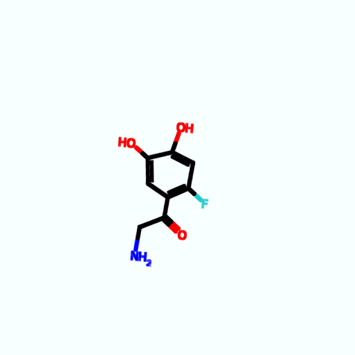 NCC(=O)c1cc(O)c(O)cc1F